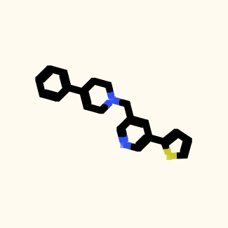 C1=C(c2ccccc2)CCN(Cc2cncc(-c3cccs3)c2)C1